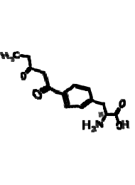 CCC(=O)CC(=O)c1ccc(C[C@H](N)C(=O)O)cc1